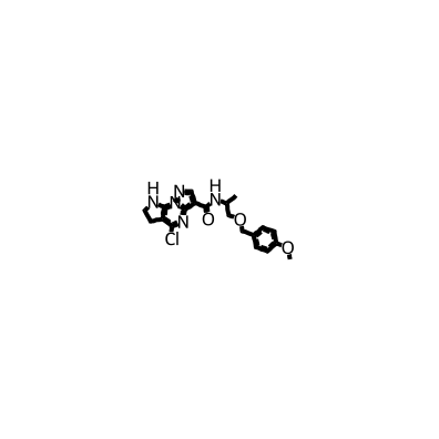 COc1ccc(COCC(C)NC(=O)c2cnn3c4c(c(Cl)nc23)CCN4)cc1